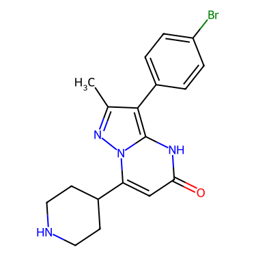 Cc1nn2c(C3CCNCC3)cc(=O)[nH]c2c1-c1ccc(Br)cc1